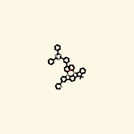 CC1(C)c2ccccc2-c2c1c1ccc3c4cc(-c5ccccn5)ccc4n(-c4ccc(-c5cccc(-c6nc(-c7ccccc7)nc(-c7ccccc7)n6)c5)cc4)c3c1n2-c1ccccc1